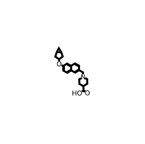 O=C(O)C1CCN(Cc2ccc3cc(OC4CC5CC5C4)ccc3c2)CC1